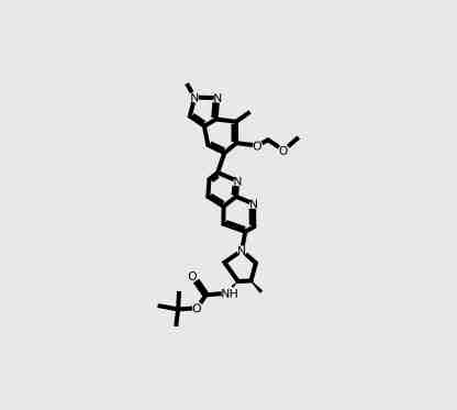 COCOc1c(-c2ccc3cc(N4C[C@@H](C)[C@H](NC(=O)OC(C)(C)C)C4)cnc3n2)cc2cn(C)nc2c1C